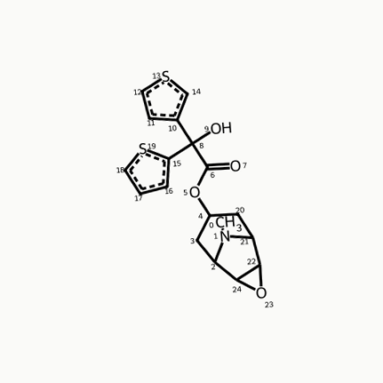 CN1C2CC(OC(=O)C(O)(c3ccsc3)c3cccs3)CC1C1OC12